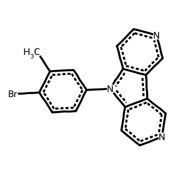 Cc1cc(-n2c3ccncc3c3cnccc32)ccc1Br